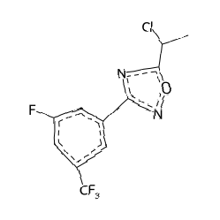 CC(Cl)c1nc(-c2cc(F)cc(C(F)(F)F)c2)no1